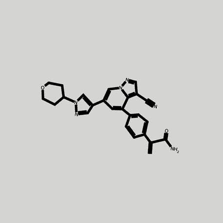 C=C(C(N)=O)c1ccc(-c2cc(-c3cnn(C4CCOCC4)c3)cn3ncc(C#N)c23)cc1